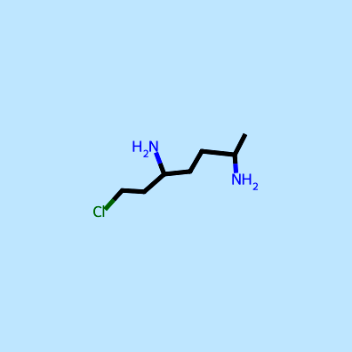 CC(N)CCC(N)CCCl